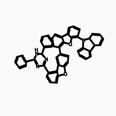 C1=CC2c3ccccc3N(c3cccc4c3oc3c(-c5ccc6oc7cccc(C8=NC(c9ccccc9)NC(c9ccccc9)=N8)c7c6c5)cccc34)C2C=C1